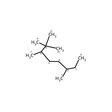 CCC(C)[CH]CC(C)C(C)(C)C